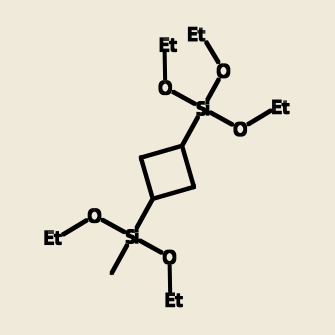 CCO[Si](C)(OCC)C1CC([Si](OCC)(OCC)OCC)C1